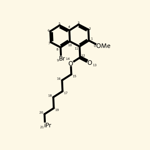 COc1ccc2cccc(Br)c2c1C(=O)OCCCCCCC(C)C